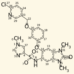 Cn1cnc(S(=O)(=O)Nc2cc3c(cc2Oc2cccc(OCc4ccc(Cl)nc4)c2)n(C)c(=O)n3C)c1